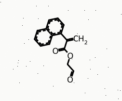 C=C(C(=O)OCC=O)c1cccc2ccccc12